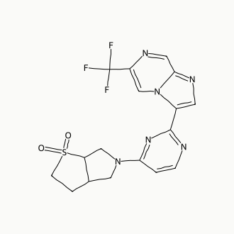 O=S1(=O)CCC2CN(c3ccnc(-c4cnc5cnc(C(F)(F)F)cn45)n3)CC21